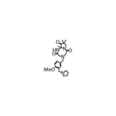 COc1ccc(CN2CC(=O)NC3(C)C(=O)C(C)(C)CN3C(=O)C2)cc1CN1CCCC1